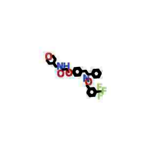 O=C(COc1ccc(CC(=NOCc2cccc(C(F)(F)F)c2)c2ccccc2)cc1)NCC1CCOCC1